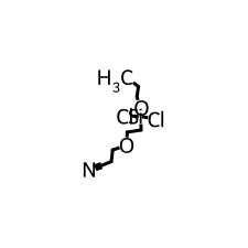 CCCO[Si](Cl)(Cl)CCOCCC#N